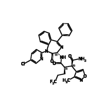 Cc1nocc1[C@H](C(N)=O)[C@@H](CCC(F)(F)F)C(=O)N[C@H]1N=C(c2ccccc2)c2ccccc2N(c2ccc(Cl)cn2)C1=O